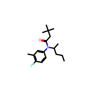 CCCC(C)N(C(=O)CC(C)(C)C)c1ccc(F)c(C)c1